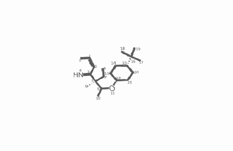 C/C=C\C(=N)[C@@](C)(CC)C(C)O[C@H]1CC[C@H](C(C)(C)C)CC1